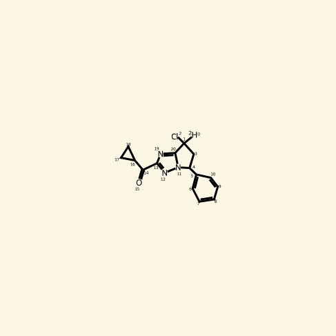 [2H]C1(Cl)CC(c2ccccc2)n2nc(C(=O)C3CC3)nc21